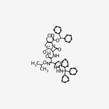 CC(C)O/N=C(\C(=O)NC1C(=O)N2C(C(=O)OC(c3ccccc3)c3ccccc3)=C(CCl)C[S+]([O-])[C@H]12)c1csc(NC(c2ccccc2)(c2ccccc2)c2ccccc2)n1